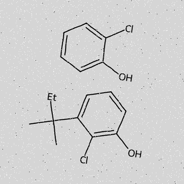 CCC(C)(C)c1cccc(O)c1Cl.Oc1ccccc1Cl